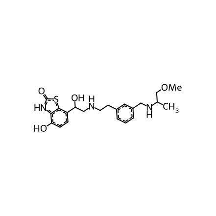 COCC(C)NCc1cccc(CCNCC(O)c2ccc(O)c3[nH]c(=O)sc23)c1